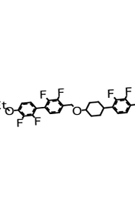 CCOc1ccc(-c2ccc(COC3CCC(c4ccc(C)c(F)c4F)CC3)c(F)c2F)c(F)c1F